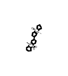 C[Si@H]1c2ccccc2[S+]([O-])c2ccc(-c3ccc4c(c3)[Si@H](C)c3ccccc3S4(=O)=O)cc21